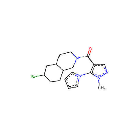 Cn1ncc(C(=O)N2CCC3CC(Br)CCC3C2)c1-n1cccc1